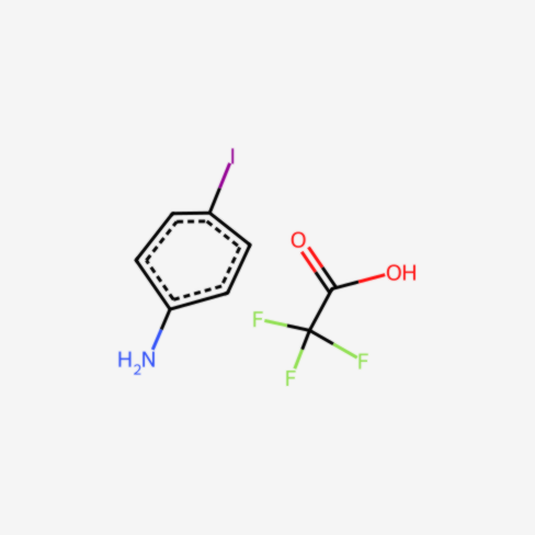 Nc1ccc(I)cc1.O=C(O)C(F)(F)F